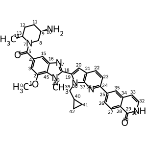 COc1cc(C(=O)N2C[C@H](N)CC[C@@H]2C)cc2nc(-c3cc4ccc(-c5ccc6c(=O)[nH]ccc6c5)nc4n3CC3CC3)n(C)c12